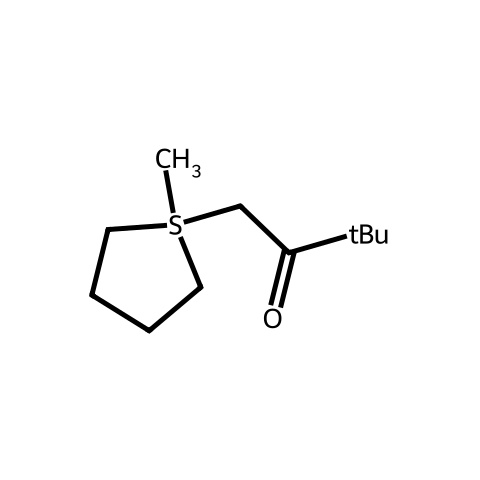 CC(C)(C)C(=O)CS1(C)CCCC1